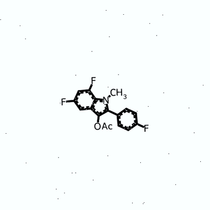 CC(=O)Oc1c(-c2ccc(F)cc2)n(C)c2c(F)cc(F)cc12